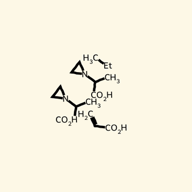 C=CC(=O)O.CC(C(=O)O)N1CC1.CC(C(=O)O)N1CC1.CCC